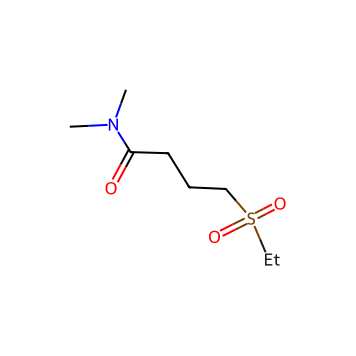 CCS(=O)(=O)CCCC(=O)N(C)C